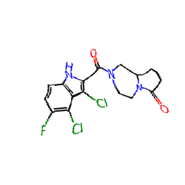 O=C(c1[nH]c2ccc(F)c(Cl)c2c1Cl)N1CCN2C(=O)CCC2C1